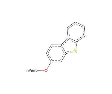 CCCCCOc1ccc2c(c1)sc1ccccc12